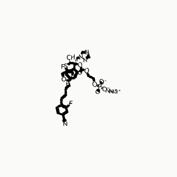 C[C@@H](S[C@H]1CO[C@H](C=CC=Cc2ccc(C#N)cc2F)OC1)[C@@](Cn1cncn1)(OC(=O)OCCOP(=O)([O-])[O-])c1ccc(F)cc1F.[Na+].[Na+]